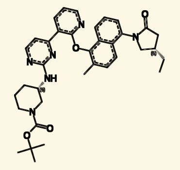 CC[C@H]1CC(=O)N(c2cccc3c(Oc4ncccc4-c4ccnc(N[C@H]5CCCN(C(=O)OC(C)(C)C)C5)n4)c(C)ccc23)C1